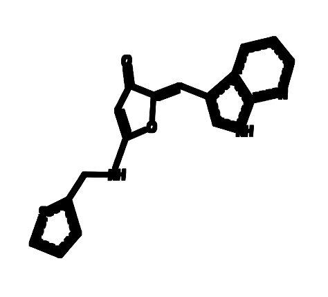 O=C1C=C(NCc2cccs2)OC1=Cc1c[nH]c2ncccc12